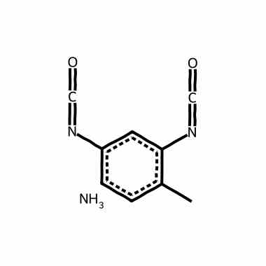 Cc1ccc(N=C=O)cc1N=C=O.N